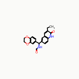 CCc1cc2cc(C(NC=O)c3ccc4c(c3)OCCO4)ccc2[nH]c1=O